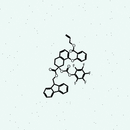 C=CCOC(=O)c1ccccc1Oc1cccc2c1C[C@](OC(=O)Oc1c(F)c(F)c(F)c(F)c1F)(C(=O)OCC1c3ccccc3-c3ccccc31)CC2